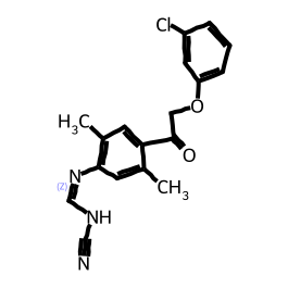 Cc1cc(C(=O)COc2cccc(Cl)c2)c(C)cc1/N=C\NC#N